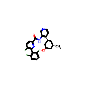 C[C@@H]1C[C@@H](O)C[C@H](c2ccncc2NC(=O)c2ccc(F)c(-c3c(F)cccc3F)n2)C1